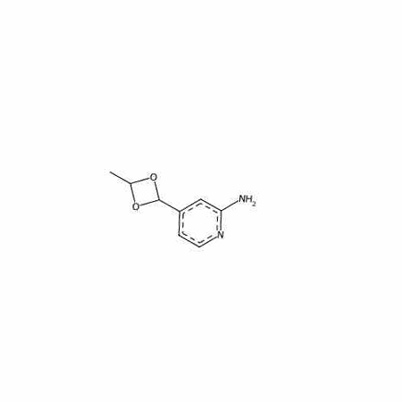 CC1OC(c2ccnc(N)c2)O1